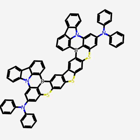 c1ccc(N(c2ccccc2)c2cc3c4c(c2)-n2c5ccccc5c5cccc(c52)B4c2cc4c(cc2S3)sc2cc3c(cc24)B2c4c(cc(N(c5ccccc5)c5ccccc5)cc4-n4c5ccccc5c5cccc2c54)S3)cc1